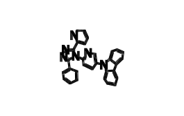 c1ccc(-c2nnc(-c3ccccn3)n2-c2ccc(-n3c4ccccc4c4ccccc43)cn2)cc1